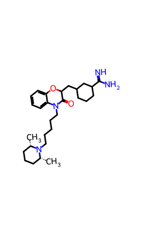 C[C@@H]1CCC[C@H](C)N1CCCCCN1C(=O)C(CC2CCCC(C(=N)N)C2)Oc2ccccc21